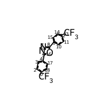 FC(F)(F)c1ccc(-c2nnc(-c3ccc(C(F)(F)F)cc3)o2)cc1